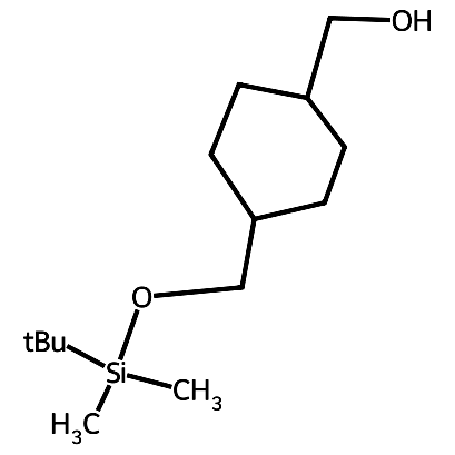 CC(C)(C)[Si](C)(C)OCC1CCC(CO)CC1